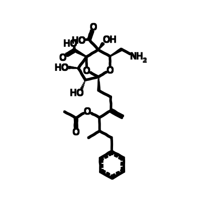 C=C(CC[C@]12O[C@H](CN)[C@@](O)(C(=O)O)[C@](C(=O)O)(O1)[C@H](O)[C@H]2O)C(OC(C)=O)C(C)Cc1ccccc1